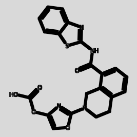 O=C(O)Oc1coc(N2CCc3cccc(C(=O)Nc4nc5ccccc5s4)c3C2)n1